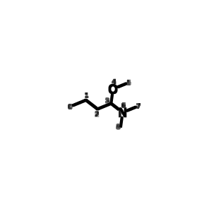 CCCC(OC)N(C)C